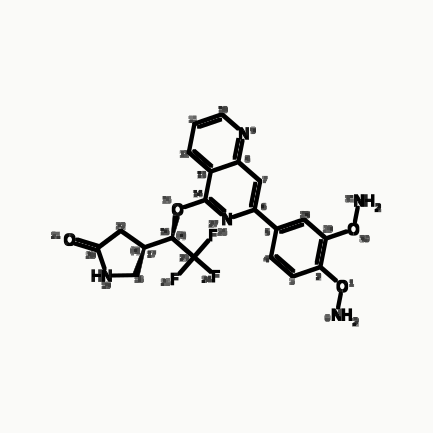 NOc1ccc(-c2cc3ncccc3c(O[C@H]([C@H]3CNC(=O)C3)C(F)(F)F)n2)cc1ON